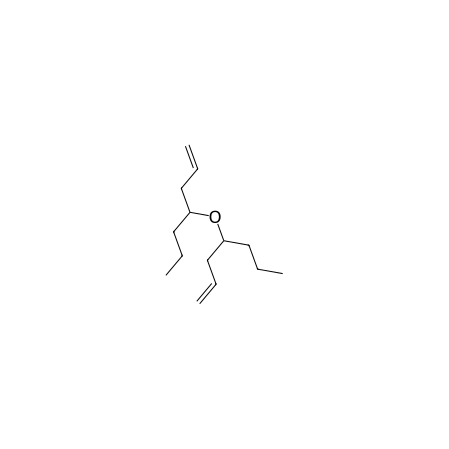 C=CCC(CCC)OC(CC=C)CCC